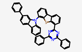 c1ccc(-c2ccc3c4ccccc4n(-c4cccc5c4sc4c(-c6nc(-c7ccccc7)nc(-c7ccccc7)n6)cccc45)c3c2)cc1